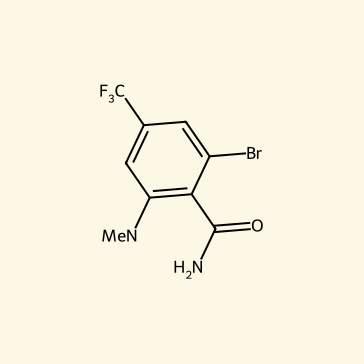 CNc1cc(C(F)(F)F)cc(Br)c1C(N)=O